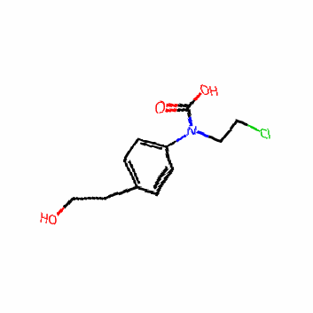 O=C(O)N(CCCl)c1ccc(CCO)cc1